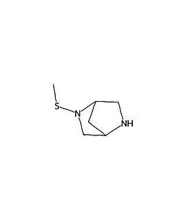 CSN1CC2CC1CN2